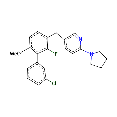 COc1ccc(Cc2ccc(N3CCCC3)nc2)c(F)c1-c1cccc(Cl)c1